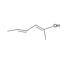 C/C=C/C=C(\C)O